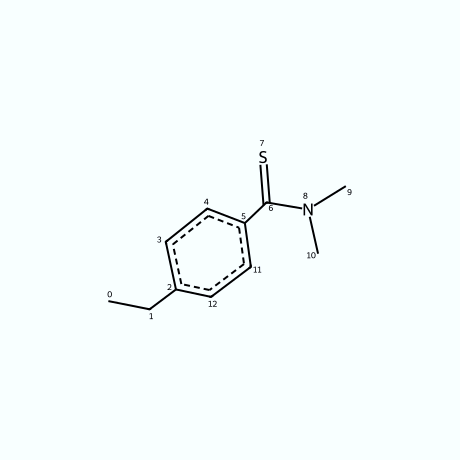 CCc1ccc(C(=S)N(C)C)cc1